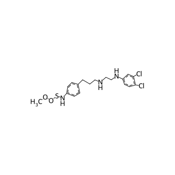 COOSNc1ccc(CCCNCCNc2ccc(Cl)c(Cl)c2)cc1